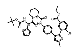 CCOC(=O)c1ccc(O)c(-c2nn(C)cc2-c2ccc(NC(=O)[C@@H]3CCCCN3C(=O)[C@H](NC(=O)OC(C)(C)C)c3cccs3)cc2)c1